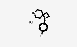 Cl.Clc1ccc(N2CCC23CCNCC3)cc1